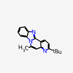 Cc1cc2nc(C(C)(C)C)ccc2c2nc3ccccc3n12